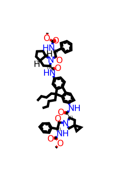 CCCCC1(CCCC)c2cc(NC(=O)[C@@H]3CC4(CC4)CN3C(=O)[C@H](NC(=O)OC)c3ccccc3)ccc2-c2ccc(NC(=O)[C@@H]3C[C@H]4CCC[C@H]4N3C(=O)[C@H](NC(=O)OC)c3ccccc3)cc21